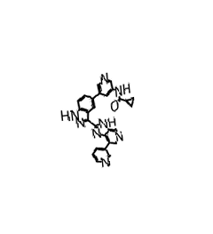 O=C(Nc1cncc(-c2ccc3[nH]nc(-c4nc5c(-c6cccnc6)cncc5[nH]4)c3c2)c1)C1CC1